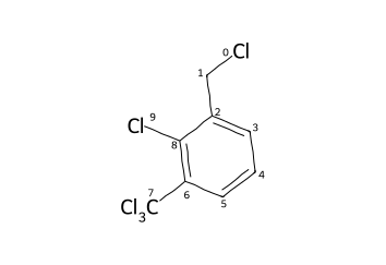 ClCc1cccc(C(Cl)(Cl)Cl)c1Cl